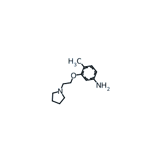 Cc1ccc(N)cc1OCCN1CCCC1